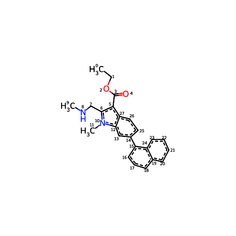 CCOC(=O)c1c(CNC)n(C)c2cc(-c3cccc4ccccc34)ccc12